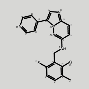 Cc1ccc(F)c(CNc2ccc3ncc(-c4ccncc4)n3n2)c1Cl